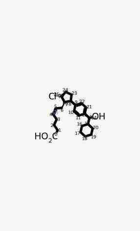 O=C(O)CCC/C=C\C[C@@H]1C(c2ccc(C(O)C3CCCCC3)cc2)CC[C@H]1Cl